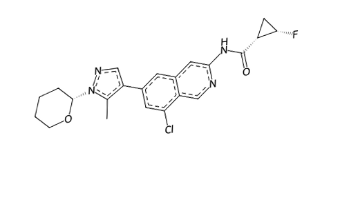 Cc1c(-c2cc(Cl)c3cnc(NC(=O)[C@@H]4C[C@@H]4F)cc3c2)cnn1[C@H]1CCCCO1